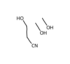 CO.CO.N#CCCO